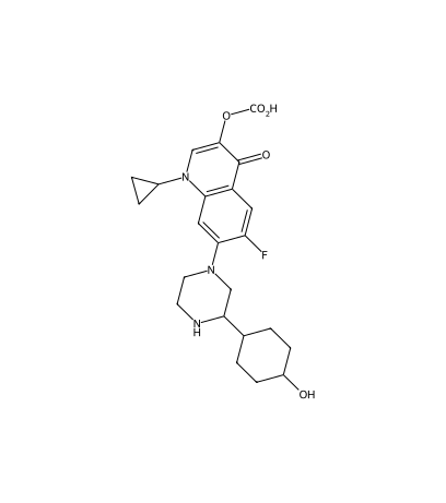 O=C(O)Oc1cn(C2CC2)c2cc(N3CCNC(C4CCC(O)CC4)C3)c(F)cc2c1=O